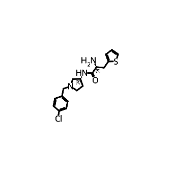 N[C@@H](Cc1cccs1)C(=O)N[C@@H]1CCN(Cc2ccc(Cl)cc2)C1